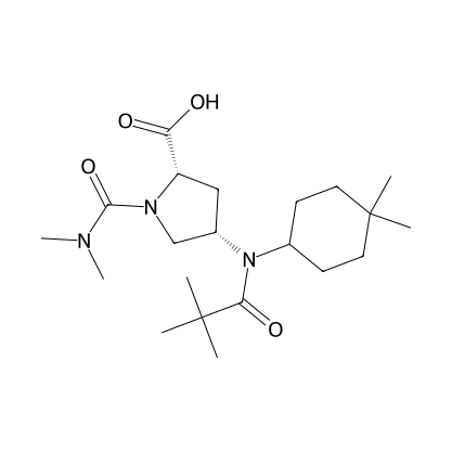 CN(C)C(=O)N1C[C@@H](N(C(=O)C(C)(C)C)C2CCC(C)(C)CC2)C[C@H]1C(=O)O